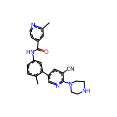 Cc1cc(C(=O)Nc2ccc(C)c(-c3cnc(N4CCNCC4)c(C#N)c3)c2)ccn1